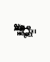 CC[C@H]1OC(=O)[C@H](C)[C@@H](O)[C@H](C)[C@@H](O[C@@H]2O[C@H](C)C[C@H](N(C)Cc3ccccc3)[C@H]2O)[C@@](C)(OC)C[C@@H](C)C(=O)[C@H](C)[C@@H](O)[C@H]1C